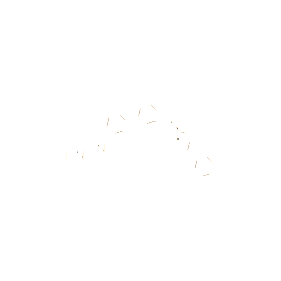 O=S(=O)(/C=C/c1ccccc1)NCc1cccc(-c2cccc(CN3CCNCC3)c2)c1